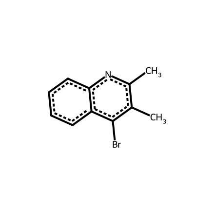 Cc1nc2ccccc2c(Br)c1C